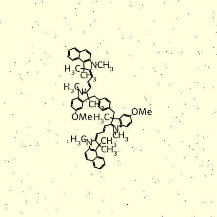 COc1ccc2c(c1)C(C)(Cc1ccc(CC3(C)C(/C=C/C=C4/N(C)c5ccc6ccccc6c5C4(C)C)=[N+](C)c4ccc(OC)cc43)cc1)C(/C=C/C=C1/N(C)c3ccc4ccccc4c3C1(C)C)=[N+]2C